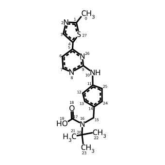 Cc1ncc(-c2ccnc(Nc3ccc(CN(C(=O)O)C(C)(C)C)cc3)n2)s1